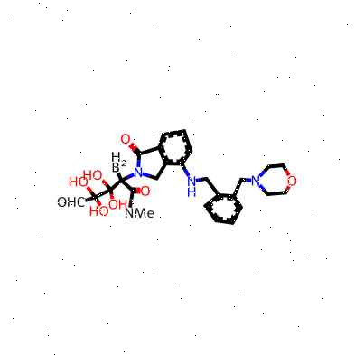 BC(C(=O)NC)(N1Cc2c(NCc3ccccc3CN3CCOCC3)cccc2C1=O)C(O)(O)C(O)(O)C=O